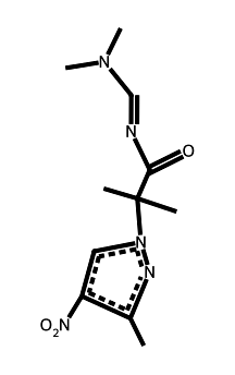 Cc1nn(C(C)(C)C(=O)N=CN(C)C)cc1[N+](=O)[O-]